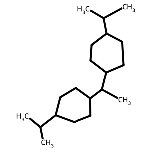 CC(C)C1CCC(C(C)C2CCC(C(C)C)CC2)CC1